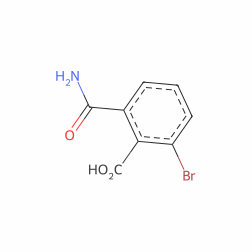 NC(=O)c1cccc(Br)c1C(=O)O